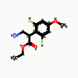 CCOC(=O)C(CN)c1c(F)cc(OC)cc1F